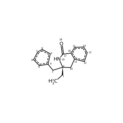 [CH2]C[C@]1(Cc2ccccc2)Cc2ccccc2C(=O)N1